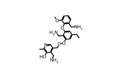 CCc1cc(OOCc2cnc(C)c(O)c2CN)c(CN)c(Oc2c(CN)cccc2OC)c1